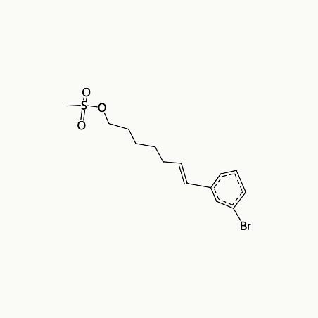 CS(=O)(=O)OCCCCCC=Cc1cccc(Br)c1